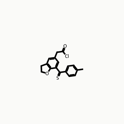 Cc1ccc(C(=S)c2cc(CC(=O)Cl)cc3c2OCC3)cc1